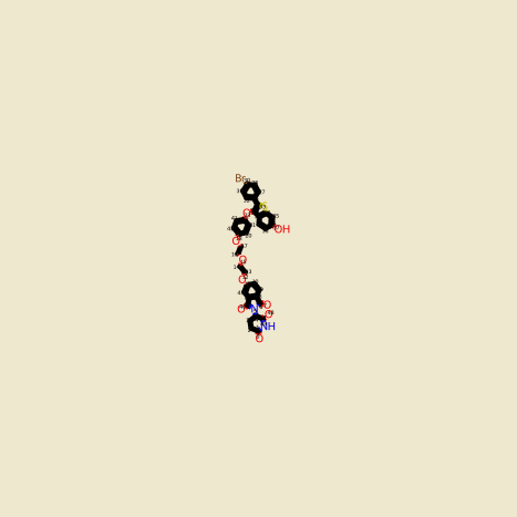 O=C1CCC(N2C(=O)c3ccc(OCCOCCOc4ccc(Oc5c(-c6ccc(Br)cc6)sc6cc(O)ccc56)cc4)cc3C2=O)C(=O)N1